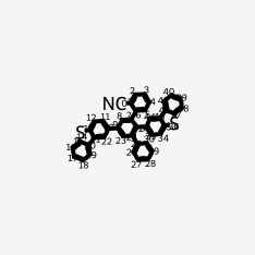 N#Cc1ccccc1-c1cc(-c2ccc3sc4ccccc4c3c2)cc(-c2ccccc2)c1-c1ccc2sc3ccccc3c2c1